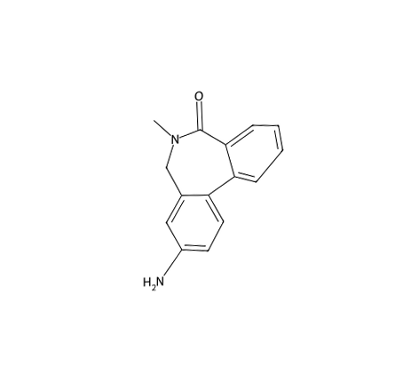 CN1Cc2cc(N)ccc2-c2ccccc2C1=O